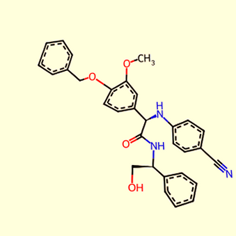 COc1cc([C@@H](Nc2ccc(C#N)cc2)C(=O)N[C@H](CO)c2ccccc2)ccc1OCc1ccccc1